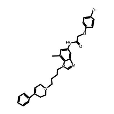 Cc1cc(NC(=O)COc2ccc(Br)cc2)cc2ncn(CCCCN3CC=C(c4ccccc4)CC3)c12